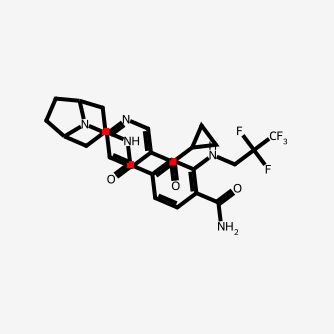 NC(=O)c1ccc(C(=O)NC2CC3CCC(C2)N3c2ccc(C(=O)C3CC3)cn2)cc1NCC(F)(F)C(F)(F)F